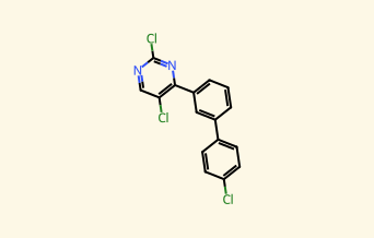 Clc1ccc(-c2cccc(-c3nc(Cl)ncc3Cl)c2)cc1